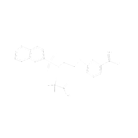 N=C(N)c1cccc(OCCNS(=O)(=O)c2ccc3ccccc3c2)c1.O=C(O)C(F)(F)F